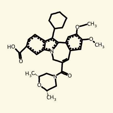 COc1cc2c(cc1OC)-c1c(C3CCCCC3)c3ccc(C(=O)O)cc3n1CC(C(=O)N1C[C@@H](C)O[C@@H](C)C1)=C2